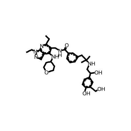 CCc1nc2c(cnn2CC)c(NC2CCOCC2)c1CNC(=O)c1cccc(CC(C)(C)NCC(O)c2ccc(O)c(CO)c2)c1